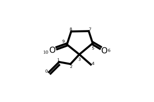 C=CCC1(C)C(=O)CCC1=O